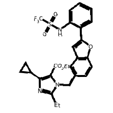 CCOC(=O)c1c(C2CC2)nc(CC)n1Cc1ccc2oc(-c3ccccc3NS(=O)(=O)C(F)(F)F)cc2c1